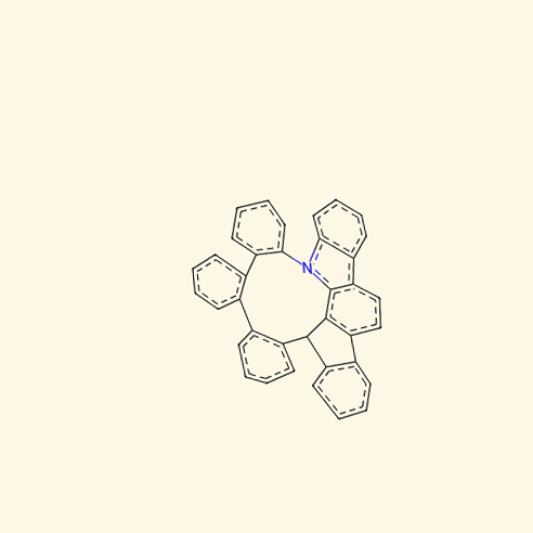 c1ccc2c(c1)-c1ccccc1C1c3ccccc3-c3ccc4c5ccccc5n(c4c31)-c1ccccc1-2